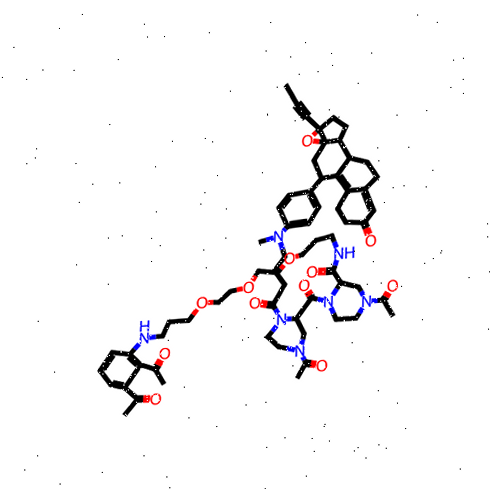 CC#CC12CCC3C4CCC5=CC(=O)CCC5=C4C(c4ccc(N(C)CCCC(=O)N5CCN(C(C)=O)CC5C(=O)N5CCN(C(C)=O)CC5C(=O)NCCCOCCOCCOCCCNc5cccc(C(C)=O)c5C(C)=O)cc4)CC31O2